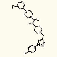 O=C(NC1CCN(Cc2cnn(-c3ccc(F)cc3)c2)CC1)c1ccc(-c2cccc(F)c2)nc1